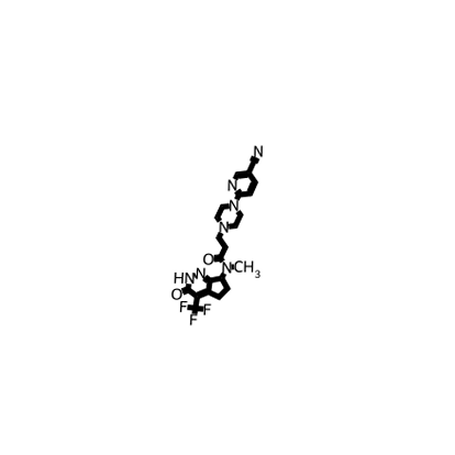 CN(C(=O)CCN1CCN(c2ccc(C#N)cn2)CC1)C1CCc2c1n[nH]c(=O)c2C(F)(F)F